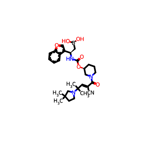 CC1(C)CCN(C(C)(C)C=C(C#N)C(=O)N2CCC[C@H](OC(=O)N[C@H](CB(O)O)c3coc4ccccc34)C2)C1